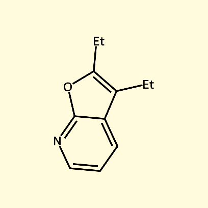 CCc1oc2ncccc2c1CC